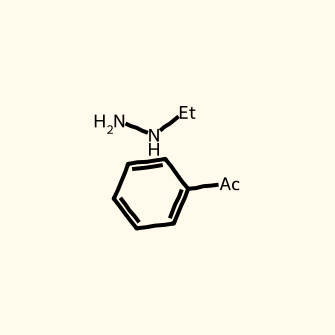 CC(=O)c1ccccc1.CCNN